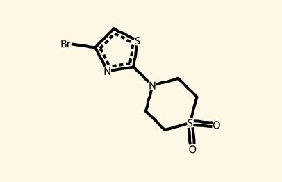 O=S1(=O)CCN(c2nc(Br)cs2)CC1